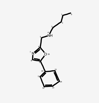 CCCCNCc1ncc(-c2ccccc2)o1